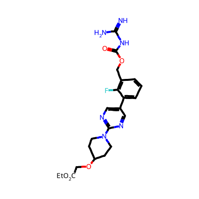 CCOC(=O)COC1CCN(c2ncc(-c3cccc(COC(=O)NC(=N)N)c3F)cn2)CC1